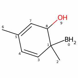 BC1(C)C=CC(C)=CC1O